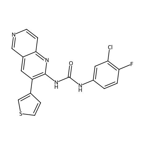 O=C(Nc1ccc(F)c(Cl)c1)Nc1nc2ccncc2cc1-c1ccsc1